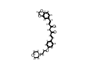 O=C(C=Cc1ccc(OCCN2CCOCC2)cc1)CC(=O)C=Cc1ccc2c(c1)OCO2